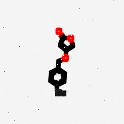 CCC(C)c1ccc(COC2=CC(=O)OC2)cc1